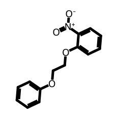 O=[N+]([O-])c1ccccc1OCCOc1ccccc1